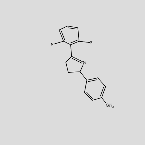 Bc1ccc(C2CCC(c3c(F)cccc3F)=N2)cc1